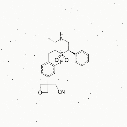 C[C@@H]1NC[C@@H](c2ccccc2)S(=O)(=O)C1Cc1ccc(C2(CC#N)COC2)cc1F